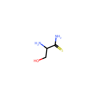 NC(=S)C(N)CO